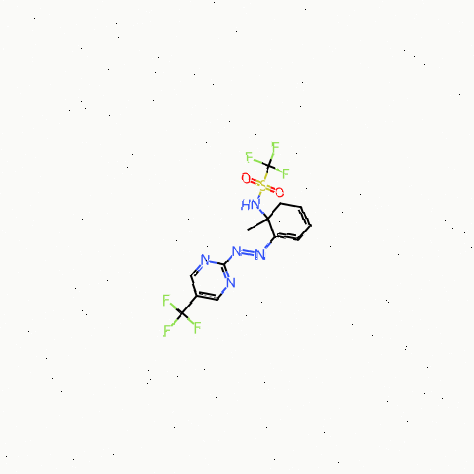 CC1(NS(=O)(=O)C(F)(F)F)CC=CC=C1N=Nc1ncc(C(F)(F)F)cn1